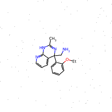 CCOc1ccccc1C1(CN)N=C(C)Nc2ncccc21